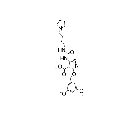 COC(=O)c1c(OCc2cc(OC)cc(OC)c2)nsc1NC(=O)NCCCCN1CCCC1